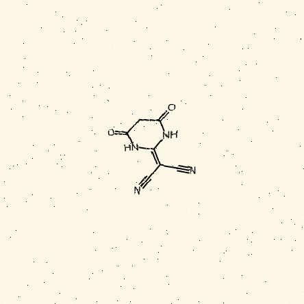 N#CC(C#N)=C1NC(=O)CC(=O)N1